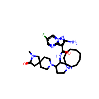 CN1CC2(CCN(C3CCNC4(CCCCCCCC4)C3NC(=O)c3c(N)nn4cc(F)cnc34)CC2)CC1=O